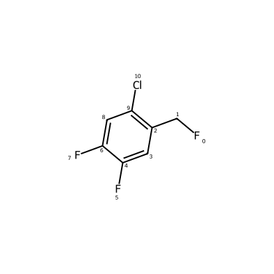 FCc1cc(F)c(F)cc1Cl